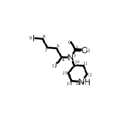 CC(=O)N(C(I)CCCI)C1CCNCC1